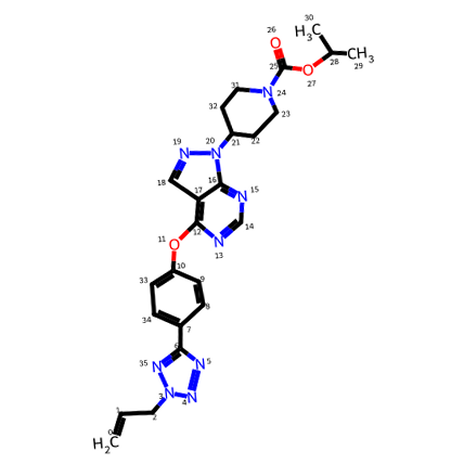 C=CCn1nnc(-c2ccc(Oc3ncnc4c3cnn4C3CCN(C(=O)OC(C)C)CC3)cc2)n1